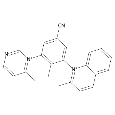 Cc1c(-[n+]2cnccc2C)cc(C#N)cc1-[n+]1c(C)ccc2ccccc21